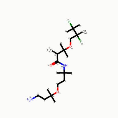 CC(C)(CCOC(C)(C)CCN)NC(=O)C(C(F)(F)F)C(C)(C)OCC(F)(C(C)(C)F)C(F)(F)F